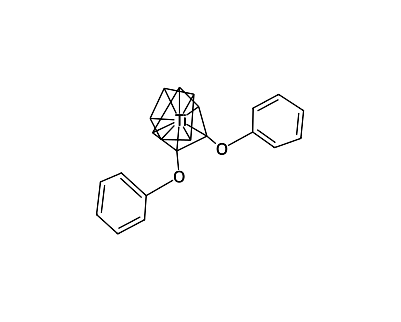 c1ccc(O[C]23[CH]4[CH]5[CH]6[C]2(Oc2ccccc2)[Ti]54632789[CH]3[CH]2[CH]7[CH]8[CH]39)cc1